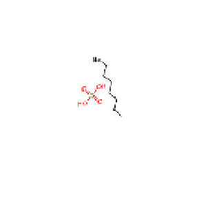 CCCCCC[CH2][Na].O=S(=O)(O)O